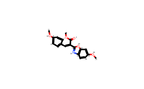 COC(=O)/C(=C\c1ccc(OC)cc1)c1nc2ccc(OC)cc2o1